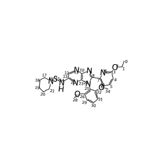 CCOc1cccc(-c2nc3ncc(NSN4CCCCC4)nc3n2-c2c(OC)cccc2OC)n1